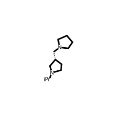 CC(C)N1CC[C@@H](CN2CCCC2)C1